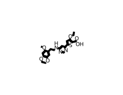 CCOc1cc(-c2cc(NCCc3cc4c(cc3OC)OCCO4)ncn2)sc1C(=O)O